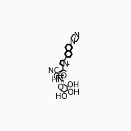 C/C(=C(/C#N)S(=O)(=O)NC[C@H]1OC[C@H](O)[C@@H](O)[C@@H]1O)c1ccc(-c2ccc3cc(N4CCN(C)CC4)ccc3c2)n1C